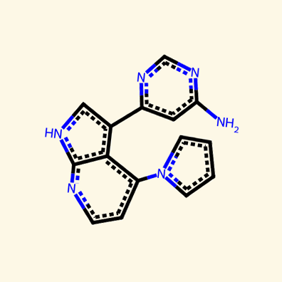 Nc1cc(-c2c[nH]c3nccc(-n4cccc4)c23)ncn1